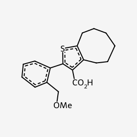 COCc1ccccc1-c1sc2c(c1C(=O)O)CCCCCC2